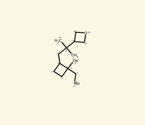 CC(C)(C)CC1(C#N)CCC1CC(C)(C)C1COC1